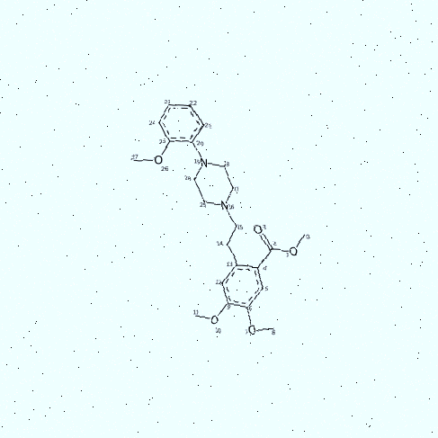 COC(=O)c1cc(OC)c(OC)cc1CCN1CCN(c2ccccc2OC)CC1